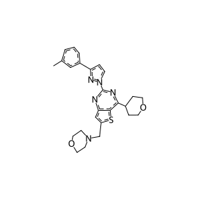 Cc1cccc(-c2ccn(-c3nc(C4CCOCC4)c4sc(CN5CCOCC5)cc4n3)n2)c1